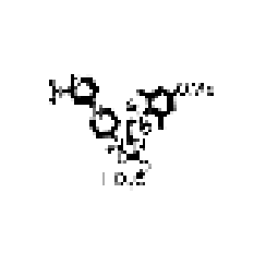 COc1cc(C)c(S(=O)(=O)CC2=NC(OC(=O)O)O[N+]2(C)C2CCN(c3ccnc(N(C)C)c3)CC2)c(C)c1